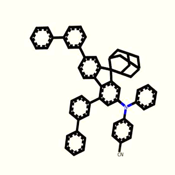 N#Cc1ccc(N(c2ccccc2)c2cc(-c3cccc(-c4ccccc4)c3)c3c(c2)C2(c4cc(-c5cccc(-c6ccccc6)c5)ccc4-3)C3CC4CC(C3)CC2C4)cc1